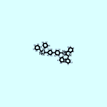 c1ccc(-c2nc3ccccc3c3nc(-c4ccc(-c5ccc(-c6nnc(-c7ccccc7)n6-c6ccccc6)cc5)cc4)n(-c4ccccc4)c23)cc1